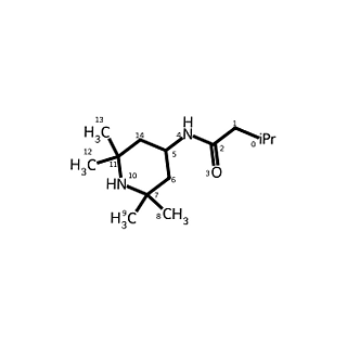 CC(C)CC(=O)NC1CC(C)(C)NC(C)(C)C1